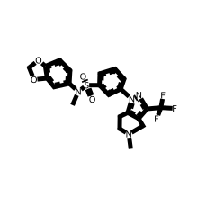 CN1CCc2c(c(C(F)(F)F)nn2-c2cccc(S(=O)(=O)N(C)c3ccc4c(c3)OCO4)c2)C1